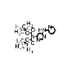 CC(C)(C)OC(=O)N(C(=O)OC(C)(C)C)c1cc(Nc2ccccn2)ncn1